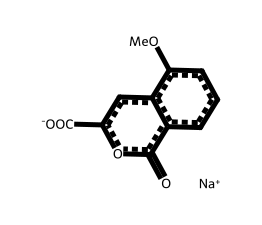 COc1cccc2c(=O)oc(C(=O)[O-])cc12.[Na+]